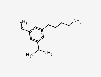 CSc1cc(CCCCN)cc(C(C)C)c1